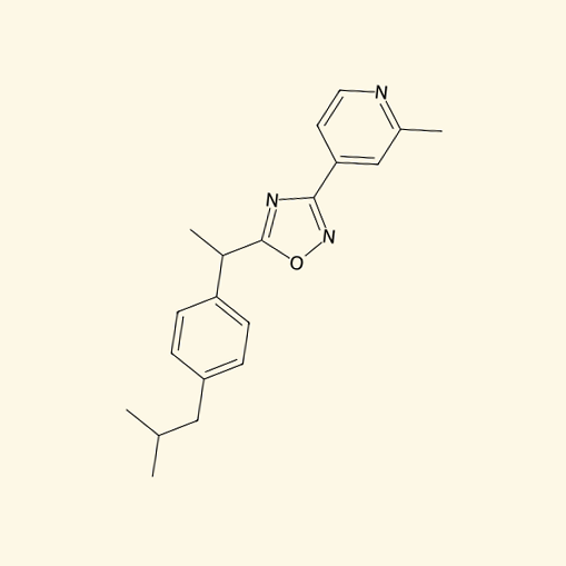 Cc1cc(-c2noc(C(C)c3ccc(CC(C)C)cc3)n2)ccn1